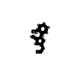 O=C1OC(CO)CN1c1ccccc1Cl